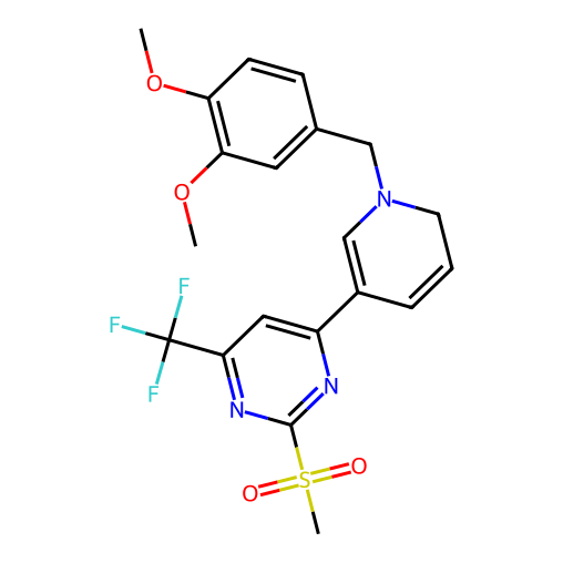 COc1ccc(CN2C=C(c3cc(C(F)(F)F)nc(S(C)(=O)=O)n3)C=CC2)cc1OC